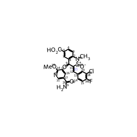 CN1c2ccc(C(=O)O)cc2C(=O)/C(=C/c2ccc(F)c(Cl)c2)[S+]1[O-].COc1ccc(C(N)=O)cn1